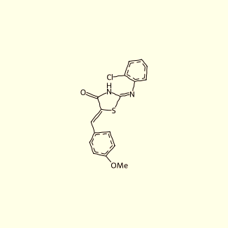 COc1ccc(/C=C2\S/C(=N/c3ccccc3Cl)NC2=O)cc1